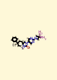 CC[C@]1(c2ccccc2)CC[C@]2(CC1)CN(c1cnc(N3CC(P)(P)C3)nc1)C(=O)N2I